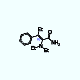 CC/C(=C(\C(N)=O)N(CC)CC)c1ccccc1